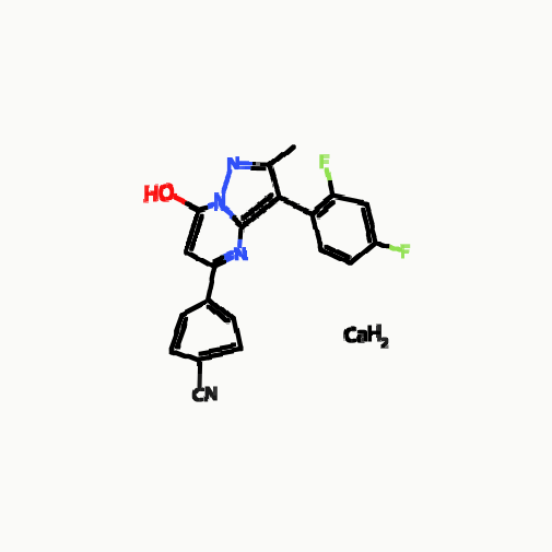 Cc1nn2c(O)cc(-c3ccc(C#N)cc3)nc2c1-c1ccc(F)cc1F.[CaH2]